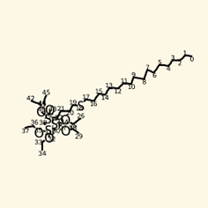 CCCCCCCCCCCCCCCCCCSCCCC1[Si](OCC)(OCC)C[Si](OCC)(OCC)C[Si]1(OCC)OCC